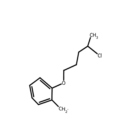 [CH2]c1ccccc1OCCCC(C)Cl